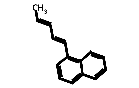 C/C=C/C=C/c1cccc2ccc[c]c12